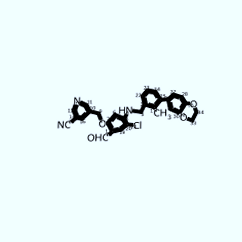 Cc1c(CNc2cc(OCc3cncc(C#N)c3)c(C=O)cc2Cl)cccc1-c1ccc2c(c1)OCCO2